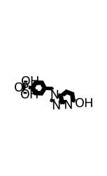 O=P(O)(O)c1ccc(Cn2cnc3nc(O)ccc32)cc1